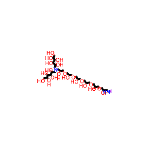 OC[C@@H](O)[C@@H](O)[C@H](O)[C@@H](O)CN(CC(O)COCC(O)COCC(O)COCC(O)COCC(O)COCC(O)CNI)C[C@H](O)[C@@H](O)[C@H](O)[C@H](O)CO